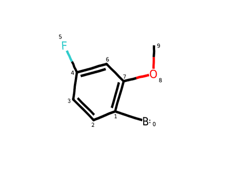 [B]c1ccc(F)cc1OC